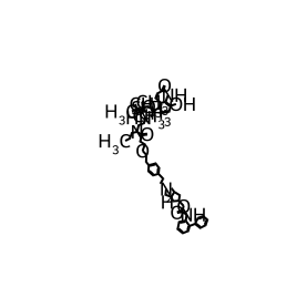 CCCN(CCNCC(O[Si](C)(C)C(C)(C)C)c1ccc(O)c2[nH]c(=O)ccc12)C(=O)CCOCCc1ccc(CCN2CC3CC(OC(=O)Nc4ccccc4-c4ccccc4)C[C@@H]3C2)cc1